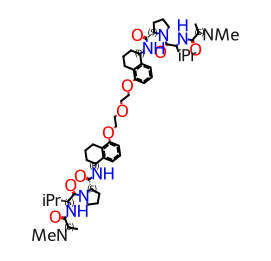 CN[C@@H](C)C(=O)NC(C(=O)N1CCC[C@H]1C(=O)N[C@@H]1CCCc2c(OCCOCCOc3cccc4c3CCC[C@H]4NC(=O)[C@@H]3CCCN3C(=O)[C@@H](NC(=O)[C@H](C)NC)C(C)C)cccc21)C(C)C